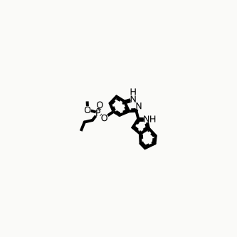 CCCP(=O)(OC)Oc1ccc2[nH]nc(-c3cc4ccccc4[nH]3)c2c1